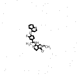 CCN1Cc2c(ccnc2NC(C)c2ccc(Oc3ccnc4ccccc34)c(F)c2)C1=O